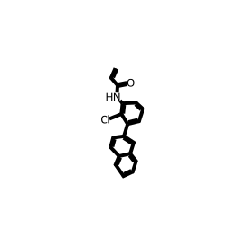 C=CC(=O)Nc1cccc(-c2ccc3ccccc3c2)c1Cl